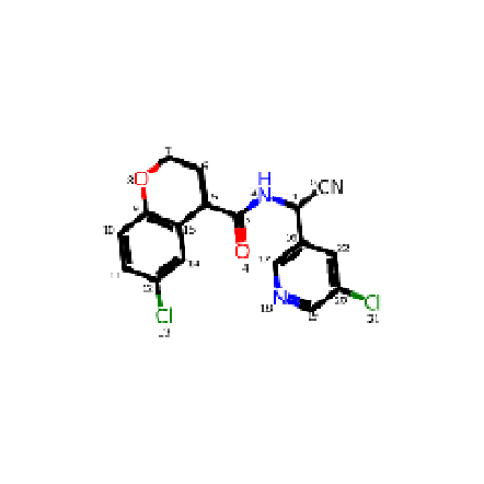 N#CC(NC(=O)C1CCOc2ccc(Cl)cc21)c1cncc(Cl)c1